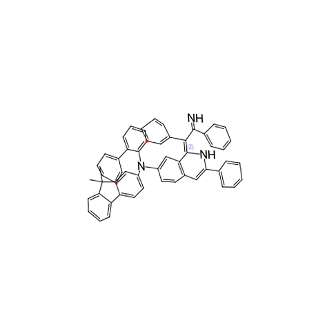 CC1(C)c2ccccc2-c2ccc(N(c3ccc4c(c3)/C(=C(/C(=N)c3ccccc3)c3ccccc3)NC(c3ccccc3)=C4)c3ccccc3-c3ccccc3)cc21